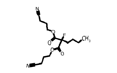 CCCCC(F)(C(=O)OCCCC#N)C(=O)OCCCC#N